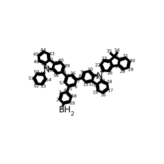 Bc1ccc(-c2cc(-c3ccc4c(c3)c3ccccc3n4-c3ccc4c(c3)-c3ccccc3C4(C)C)cc(-c3ccc4c5ccccc5n(-c5ccccc5)c4c3)c2)cc1